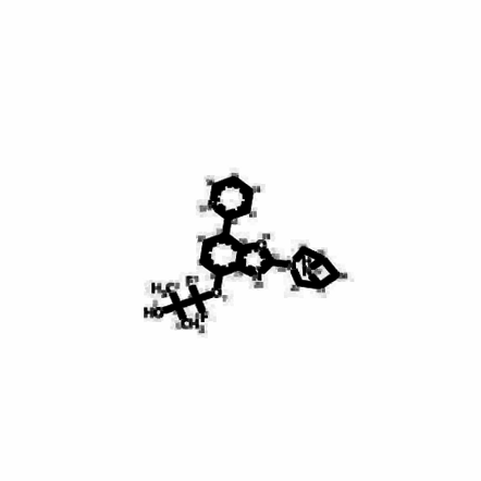 CC(C)(O)C(F)(F)Oc1ccc(-c2ccccn2)c2oc(N3CC4CC(C3)N4)nc12